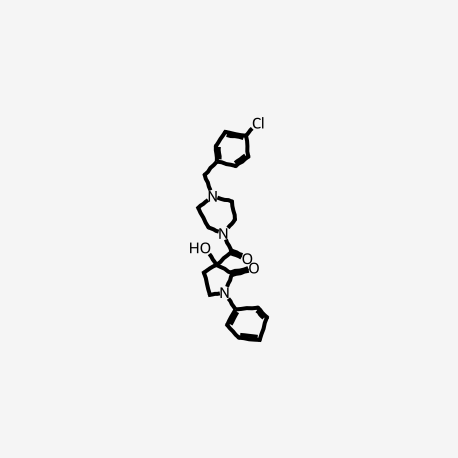 O=C(N1CCN(Cc2ccc(Cl)cc2)CC1)C1(O)CCN(c2ccccc2)C1=O